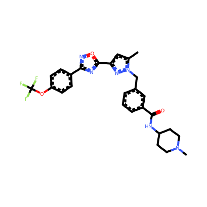 Cc1cc(-c2nc(-c3ccc(OC(F)(F)F)cc3)no2)nn1Cc1cccc(C(=O)NC2CCN(C)CC2)c1